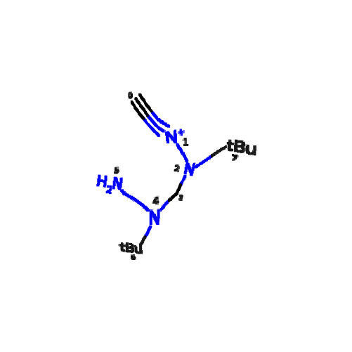 C#[N+]N(CN(N)C(C)(C)C)C(C)(C)C